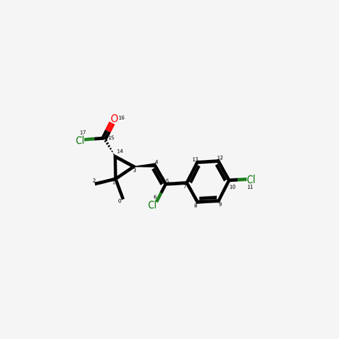 CC1(C)[C@H](C=C(Cl)c2ccc(Cl)cc2)[C@H]1C(=O)Cl